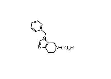 O=C(O)N1CCc2ncn(Cc3ccccc3)c2C1